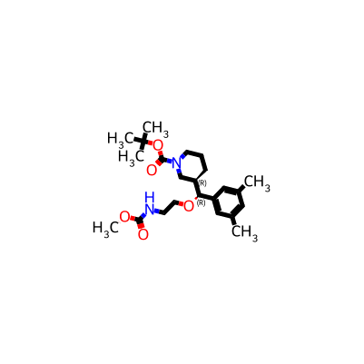 COC(=O)NCCO[C@@H](c1cc(C)cc(C)c1)[C@@H]1CCCN(C(=O)OC(C)(C)C)C1